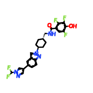 O=C(NC[C@H]1CC[C@H](n2cc3cc(-c4cnn(C(F)F)c4)ccc3n2)CC1)c1cc(F)c(O)c(F)c1F